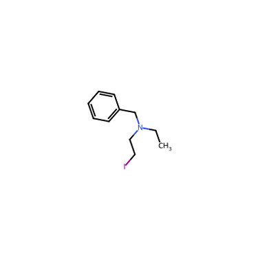 CCN(CCI)Cc1ccccc1